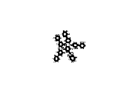 c1ccc(-c2ccc(N3c4ccc(-c5ccccc5)cc4B4c5cc(-c6ccccc6)ccc5N(c5ccc(-c6ccccc6)cc5)c5cc(-c6nc7ccccc7o6)cc3c54)cc2)cc1